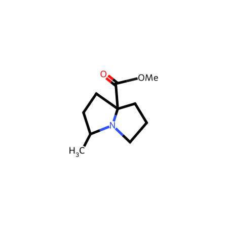 COC(=O)C12CCCN1C(C)CC2